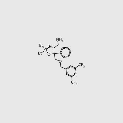 CC[Si](CC)(CC)O[C@](CCN)(COCc1cc(C(F)(F)F)cc(C(F)(F)F)c1)c1ccccc1